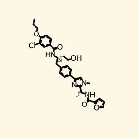 CCCOc1ccc(C(=O)N[C@H](CCO)Cc2ccc(-c3cn(C)c([C@@H](C)NC(=O)c4ccco4)n3)cc2)cc1Cl